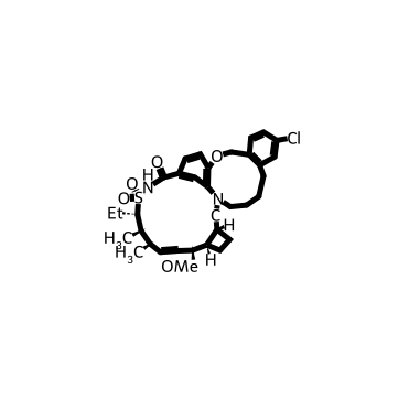 CC[C@H]1[C@H](C)[C@H](C)/C=C/[C@H](OC)[C@@H]2CC[C@H]2CN2CCCCc3cc(Cl)ccc3COc3ccc(cc32)C(=O)NS1(=O)=O